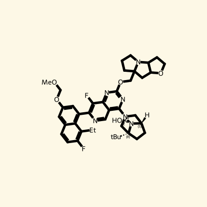 CCc1c(F)ccc2cc(OCOC)cc(-c3ncc4c(N5C[C@@H]6CC[C@@](C(C)(C)C)(C5)N6C(=O)O)nc(OCC56CCCN5C5CCOC5C6)nc4c3F)c12